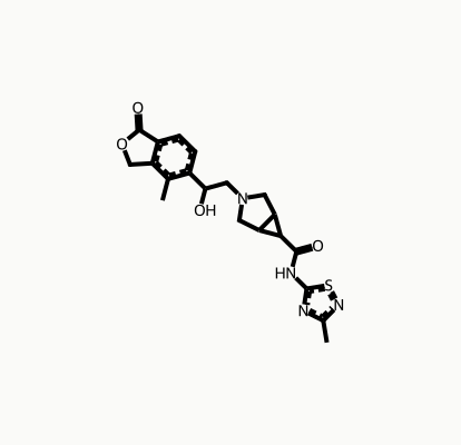 Cc1nsc(NC(=O)C2C3CN(CC(O)c4ccc5c(c4C)COC5=O)CC32)n1